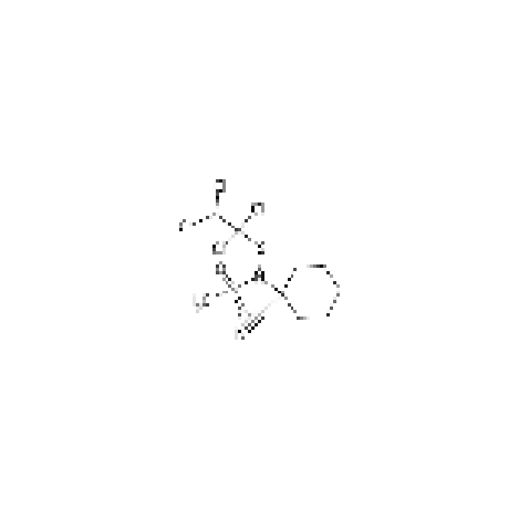 CS(=O)(=O)N(SC(Cl)(Cl)C(Cl)Cl)C1(C#N)CCCCC1